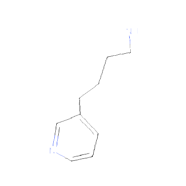 [NH]CCCCc1cccnc1